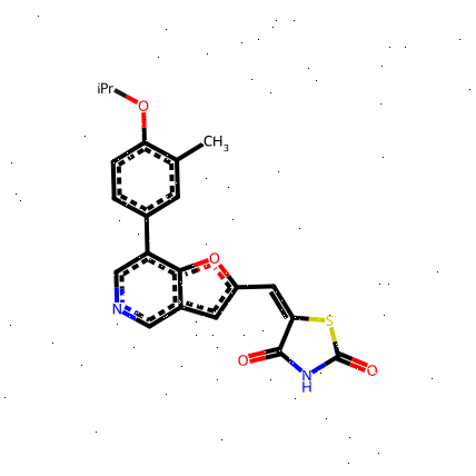 Cc1cc(-c2cncc3cc(C=C4SC(=O)NC4=O)oc23)ccc1OC(C)C